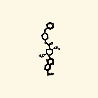 COc1ccc2nc(N3C[C@@H](C)N(C(=O)OC4CCN(Cc5ccncc5)CC4)C[C@@H]3C)cnc2c1